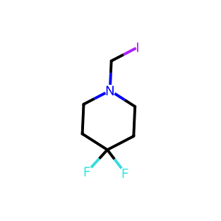 FC1(F)CCN(CI)CC1